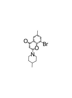 Cc1cc(Br)c2oc(N3CCC(C)CC3)cc(=O)c2c1